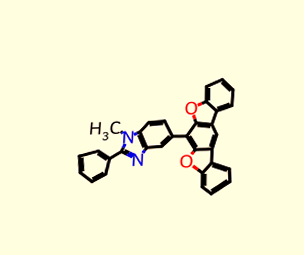 Cn1c(-c2ccccc2)nc2cc(-c3c4oc5ccccc5c4cc4c3oc3ccccc34)ccc21